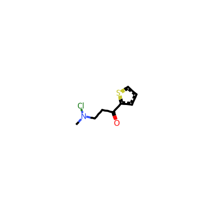 CN(Cl)CCC(=O)c1cccs1